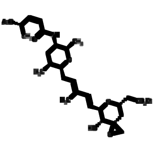 CCOC(=O)C[C@@H]1C[C@@]2(CO2)[C@H](O)[C@@H](/C=C/C(C)=C/C[C@@H]2O[C@H](C)[C@H](NC(=O)/C=C\[C@H](C)OC(C)=O)C[C@@H]2C)O1